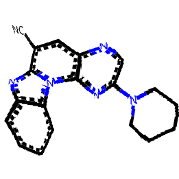 N#Cc1cc2ncc(N3CCCCC3)nc2n2c1nc1ccccc12